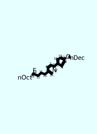 CCCCCCCCCCOc1ccc(-c2ccc(CCCC(F)CCCCCCCC)cn2)cc1